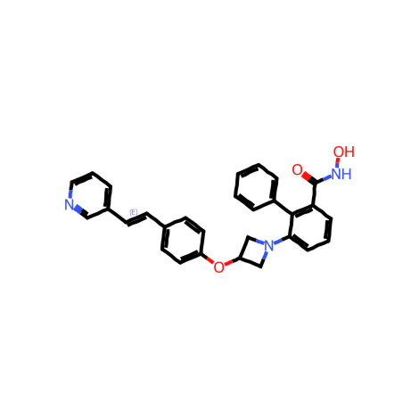 O=C(NO)c1cccc(N2CC(Oc3ccc(/C=C/c4cccnc4)cc3)C2)c1-c1ccccc1